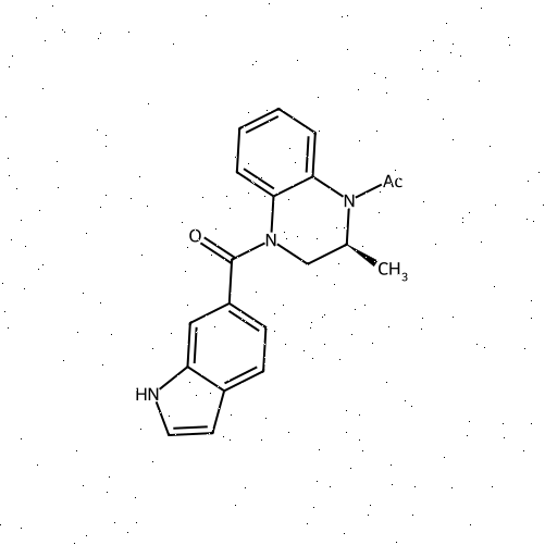 CC(=O)N1c2ccccc2N(C(=O)c2ccc3cc[nH]c3c2)C[C@@H]1C